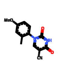 COc1ccc(-n2cc(C#N)c(=O)[nH]c2=O)c(C)c1